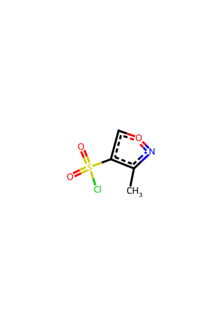 Cc1nocc1S(=O)(=O)Cl